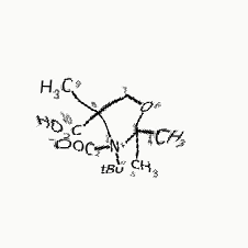 CC(C)(C)[N+]1(C(=O)[O-])C(C)(C)OCC1(C)C(=O)O